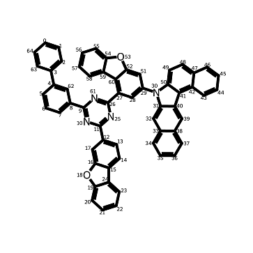 c1ccc(-c2cccc(-c3nc(-c4ccc5c(c4)oc4ccccc45)nc(-c4cc(-n5c6cc7ccccc7cc6c6c7ccccc7ccc65)cc5oc6ccccc6c45)n3)c2)cc1